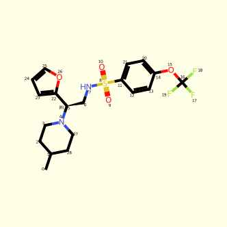 CC1CCN([C@H](CNS(=O)(=O)c2ccc(OC(F)(F)F)cc2)c2ccco2)CC1